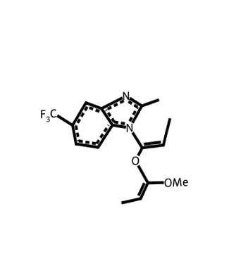 C/C=C(/OC)O/C(=C/C)n1c(C)nc2cc(C(F)(F)F)ccc21